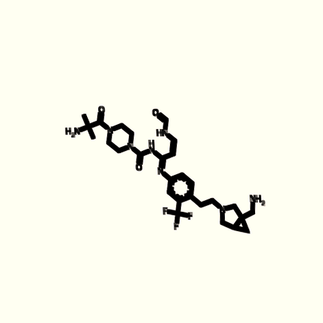 CC(C)(N)C(=O)N1CCN(C(=O)NC(/C=C\NC=O)=N/c2ccc(CCN3CC4CC4(CN)C3)c(C(F)(F)F)c2)CC1